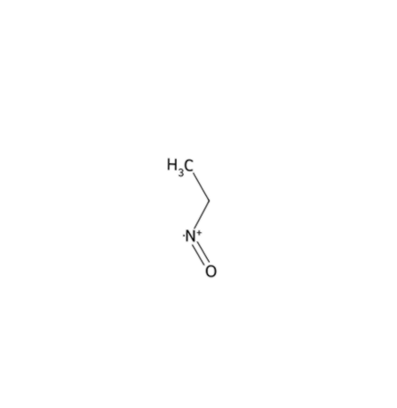 CC[N+]=O